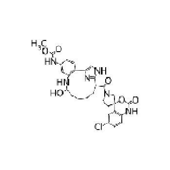 COC(=O)Nc1ccc2c(c1)NC(O)CCCCC(C(=O)N1CC[C@@]3(C1)OC(=O)Nc1ccc(Cl)cc13)c1nc-2c[nH]1